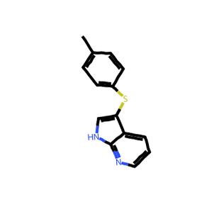 Cc1ccc(Sc2c[nH]c3ncccc23)cc1